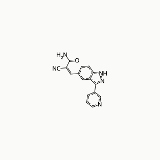 N#CC(=Cc1ccc2[nH]nc(-c3cccnc3)c2c1)C(N)=O